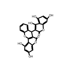 O=c1oc2cc(O)cc(O)c2c(O)c1C1c2ccccc2Oc2c1c(=O)oc1cc(O)cc(O)c21